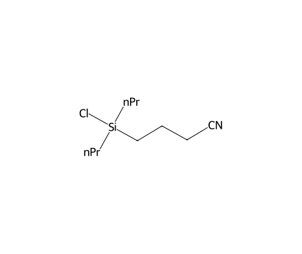 CCC[Si](Cl)(CCC)CCCC#N